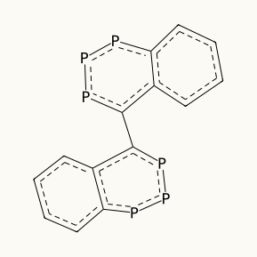 c1ccc2c(-c3pppc4ccccc34)pppc2c1